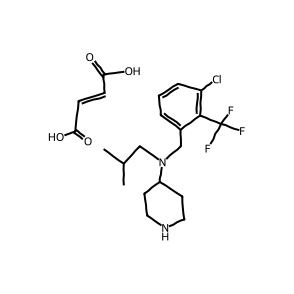 CC(C)CN(Cc1cccc(Cl)c1C(F)(F)F)C1CCNCC1.O=C(O)/C=C/C(=O)O